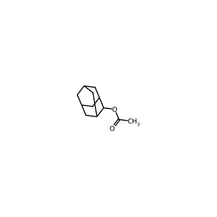 CC(=O)OC1C2CC3CC(C2)CC1C3